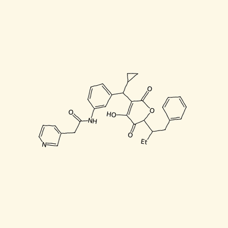 CCC(Cc1ccccc1)C1OC(=O)C(C(c2cccc(NC(=O)Cc3cccnc3)c2)C2CC2)=C(O)C1=O